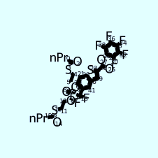 CCCC(=O)SCCOP(=O)(OCCSC(=O)CCC)C(F)(F)c1ccc2sc(C(=O)Oc3c(F)c(F)c(F)c(F)c3F)cc2c1